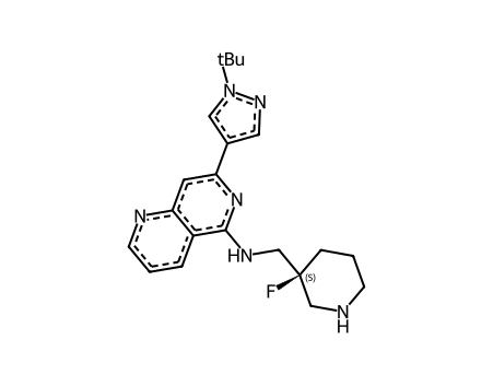 CC(C)(C)n1cc(-c2cc3ncccc3c(NC[C@]3(F)CCCNC3)n2)cn1